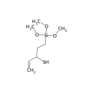 C=CC(S)CC[Si](OC)(OC)OC